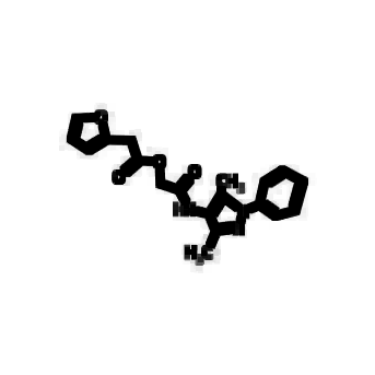 Cc1nn(-c2ccccc2)c(C)c1NC(=O)COC(=O)Cc1ccco1